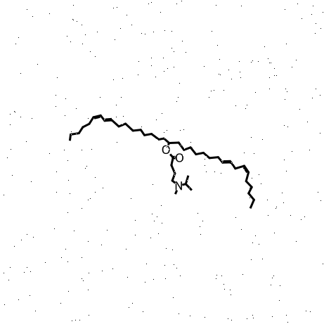 CCCCC/C=C\C=C\CCCCCCCCC(CCCCCCC/C=C/C/C=C\CCCCC)OC(=O)CCCN(C)C(C)C